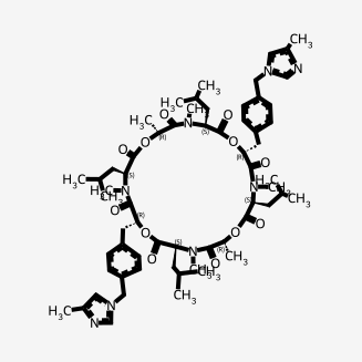 Cc1cn(Cc2ccc(C[C@H]3OC(=O)[C@H](CC(C)C)N(C)C(=O)[C@@H](C)OC(=O)[C@H](CC(C)C)N(C)C(=O)[C@@H](Cc4ccc(Cn5cnc(C)c5)cc4)OC(=O)[C@H](CC(C)C)N(C)C(=O)[C@@H](C)OC(=O)[C@H](CC(C)C)N(C)C3=O)cc2)cn1